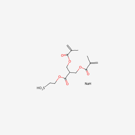 C=C(C)C(=O)OCC(COC(=O)C(=C)C)C(=O)OCCS(=O)(=O)O.[NaH]